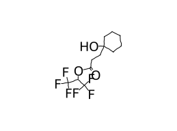 O=C(CCC1(O)CCCCC1)OC(C(F)(F)F)C(F)(F)F